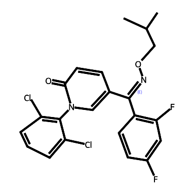 CC(C)CO/N=C(\c1ccc(=O)n(-c2c(Cl)cccc2Cl)c1)c1ccc(F)cc1F